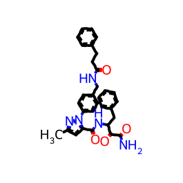 Cc1cc(C(=O)NC(Cc2ccccc2)C(=O)C(N)=O)n(-c2ccc(CNC(=O)CCc3ccccc3)cc2)n1